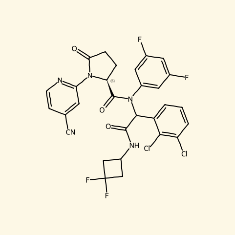 N#Cc1ccnc(N2C(=O)CC[C@H]2C(=O)N(c2cc(F)cc(F)c2)C(C(=O)NC2CC(F)(F)C2)c2cccc(Cl)c2Cl)c1